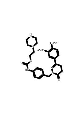 COc1ccc(C2=NN(Cc3ccc(NC(=O)OCCN4CCNCC4)cc3)C(=O)CC2)cc1OC